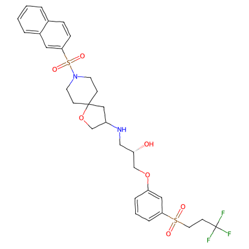 O=S(=O)(CCC(F)(F)F)c1cccc(OC[C@@H](O)CNC2COC3(CCN(S(=O)(=O)c4ccc5ccccc5c4)CC3)C2)c1